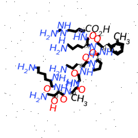 Cc1ccccc1C[C@H](NC(=O)[C@@H]1CCCN1C(=O)[C@@H](CCCN)NC(=O)CNC(=O)[C@H](C)NC(=O)[C@@H](NC(=O)C(N)CCCCN)[C@@H](O)CN)C(=O)N[C@@H](CCCCN)C(=O)N/C(=C\CCNC(=N)N)C(=O)O